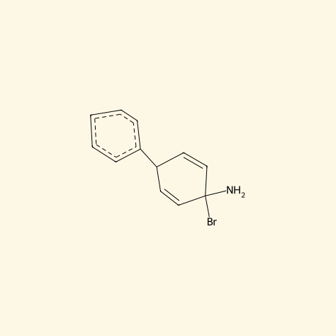 NC1(Br)C=CC(c2ccccc2)C=C1